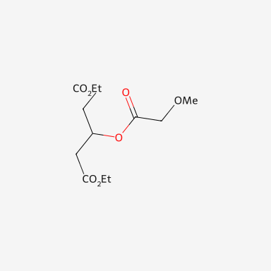 CCOC(=O)CC(CC(=O)OCC)OC(=O)COC